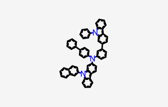 c1ccc(-c2ccc(N(c3cccc(-c4ccc5c6ccccc6n(-c6ccccc6)c5c4)c3)c3ccc4c5ccccc5n(-c5ccc6ccccc6c5)c4c3)cc2)cc1